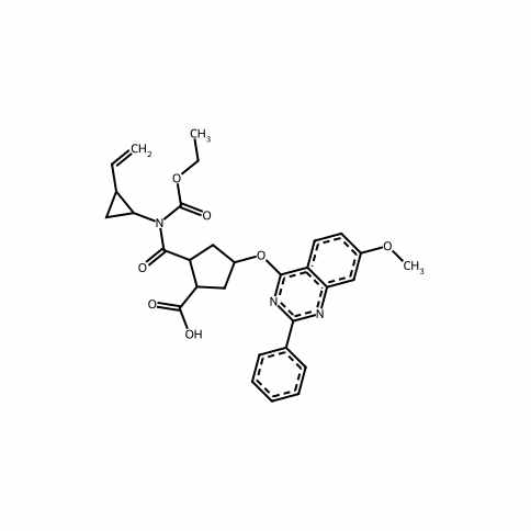 C=CC1CC1N(C(=O)OCC)C(=O)C1CC(Oc2nc(-c3ccccc3)nc3cc(OC)ccc23)CC1C(=O)O